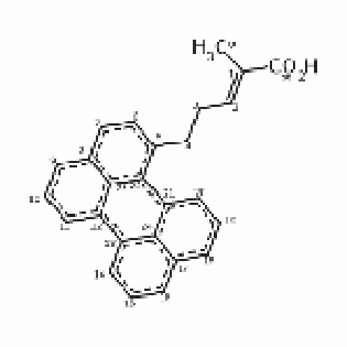 CC(=CCCc1ccc2cccc3c4cccc5cccc(c1c23)c54)C(=O)O